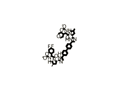 COC(=O)N[C@H](C(=O)N1[C@H](C)C(C)C[C@H]1c1ncc(-c2ccc(-c3ccc(-c4cnc([C@@H]5C[C@@H](C)[C@@H](C)N5C(=O)[C@@H](NC(=O)OC)C5CCC(F)(F)CC5)[nH]4)cc3)cc2)[nH]1)C1CCOCC1